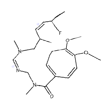 COC1=C(OC)CC=C(C(=O)N(C)C/N=C\N(C)CC(C)/C=C\C(C)F)C=C1